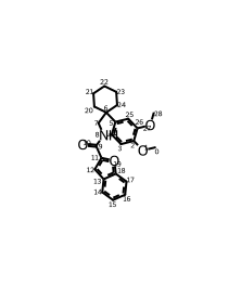 COc1ccc(C2(CNC(=O)c3cc4ccccc4o3)CCCCC2)cc1OC